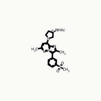 CC(=O)N[C@@H]1CCN(c2cc(C)nn3c(-c4cccc(S(C)(=O)=O)c4)c(C)nc23)C1